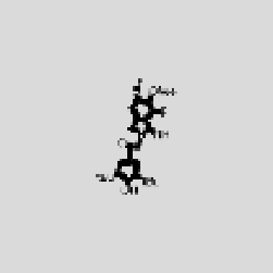 CCOc1cc2c(c(F)c1OC)C(=N)N(CC(=O)c1cc(C(C)(C)C)c(O)c(C(C)(C)C)c1)C2